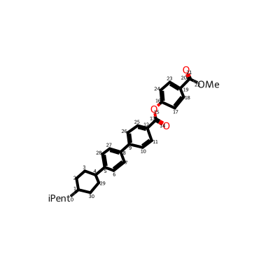 CCCC(C)C1CCC(c2ccc(-c3ccc(C(=O)Oc4ccc(C(=O)OC)cc4)cc3)cc2)CC1